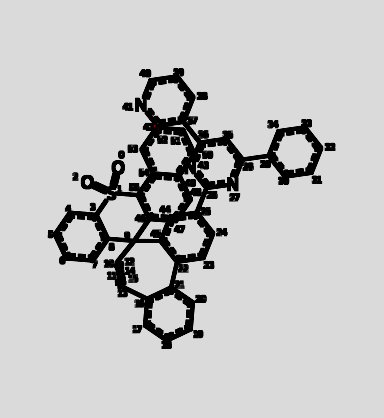 O=S1(=O)c2ccccc2C2(c3ccccc3-c3ccccc3-c3ccc(-c4nc(-c5ccccc5)cc(-c5cccnc5)n4)cc32)c2ccc3ccccc3c21